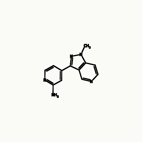 Cn1nc(-c2ccnc(N)c2)c2cnccc21